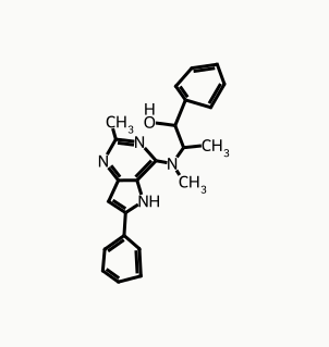 Cc1nc(N(C)C(C)C(O)c2ccccc2)c2[nH]c(-c3ccccc3)cc2n1